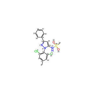 Cc1cc(Cl)c(-n2nc(-c3ccccc3)cc2NS(C)(=O)=O)c(Cl)c1